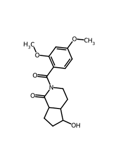 COc1ccc(C(=O)N2CCC3C(O)CCC3C2=O)c(OC)c1